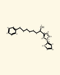 OC(CCCCCCc1ccccc1)c1nnn(-c2cccs2)n1